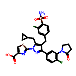 NS(=O)(=O)c1ccc(Cc2c(-c3ccc(F)c(N4CCCC4=O)c3)nn(-c3nc(C(=O)O)cs3)c2CC2CC2)cc1F